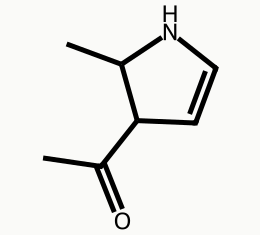 CC(=O)C1C=CNC1C